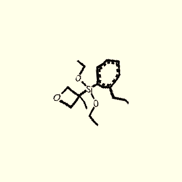 CCO[Si](OCC)(c1ccccc1CC)C1(C)COC1